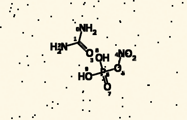 NC(N)=O.O=[N+]([O-])OP(=O)(O)O